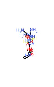 CC[C@]1(OC(=O)CCC(=O)NC(CS)C(=O)NC(CS)C(=O)NC(CCCCN)C(=O)NC(CCCCN)C(N)=O)C(=O)OCc2c1cc1n(c2=O)Cc2cc3ccccc3nc2-1